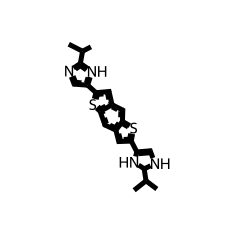 CC(C)c1ncc(-c2cc3cc4sc(C5=CNC(C(C)C)N5)cc4cc3s2)[nH]1